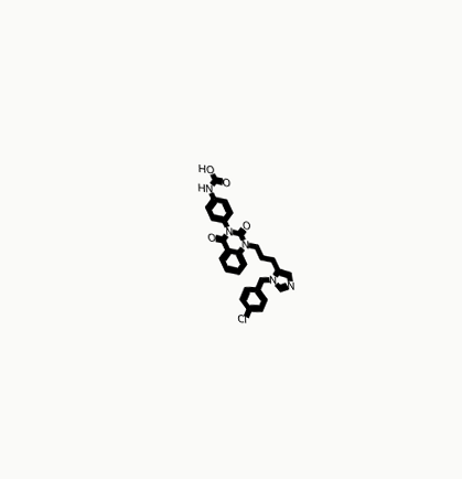 O=C(O)Nc1ccc(-n2c(=O)c3ccccc3n(CCCc3cncn3Cc3ccc(Cl)cc3)c2=O)cc1